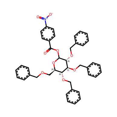 O=C(OC1O[C@H](COCc2ccccc2)[C@@H](OCc2ccccc2)[C@H](OCc2ccccc2)[C@H]1OCc1ccccc1)c1ccc([N+](=O)[O-])cc1